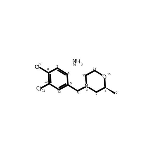 C[C@H]1CN(Cc2ccc(Cl)c(Cl)c2)CCO1.N